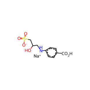 O=C(O)c1ccc(NCC(O)CS(=O)(=O)[O-])cc1.[Na+]